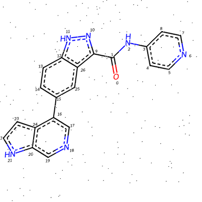 O=C(Nc1ccncc1)c1n[nH]c2ccc(-c3cncc4[nH]ccc34)cc12